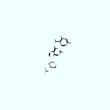 CC[C@H]1O[C@@H](n2cnc3c(OC(C)c4ccc(I)cc4[N+](=O)[O-])nc(NC(C)=O)nc32)C[C@H]1O[Si](C)(C)C(C)(C)C